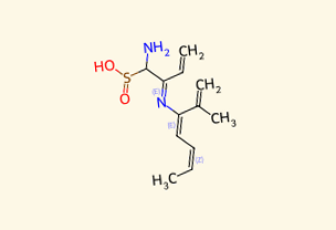 C=C\C(=N/C(=C/C=C\C)C(=C)C)C(N)S(=O)O